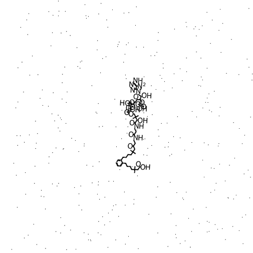 CC(C)(CCCCc1ccccc1CCCCC(C)(C)CC(=O)CCNC(=O)CCNC(=O)C(O)C(C)(C)COP(=O)(O)OP(=O)(O)OCC1OC(n2cnc3c(N)ncnc32)C(O)C1OP(=O)(O)O)CC(=O)O